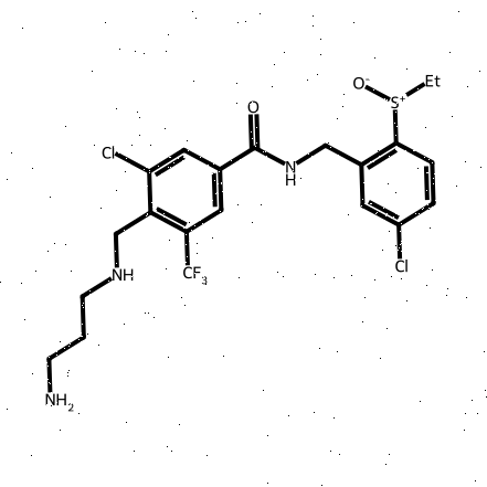 CC[S+]([O-])c1ccc(Cl)cc1CNC(=O)c1cc(Cl)c(CNCCCN)c(C(F)(F)F)c1